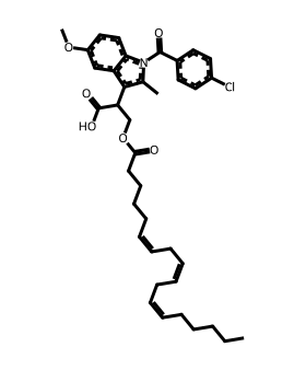 CCCCC/C=C\C/C=C\C/C=C\CCCCC(=O)OCC(C(=O)O)c1c(C)n(C(=O)c2ccc(Cl)cc2)c2ccc(OC)cc12